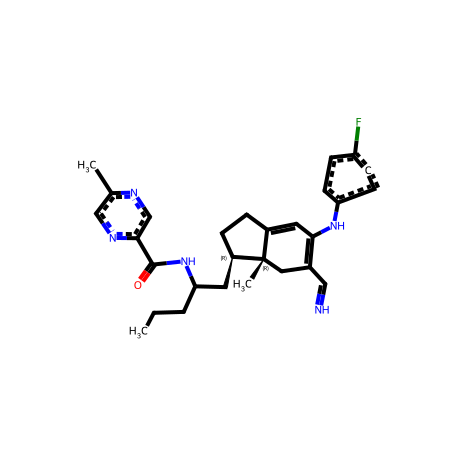 CCCC(C[C@H]1CCC2=CC(Nc3ccc(F)cc3)=C(C=N)C[C@@]21C)NC(=O)c1cnc(C)cn1